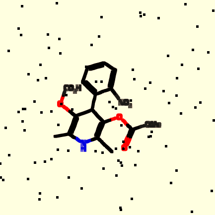 COC(=O)OC1=C(C)NC(C)=C(OC(=O)O)C1c1ccccc1[N+](=O)[O-]